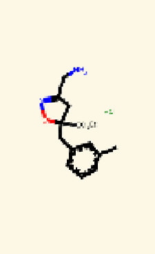 CCOC(=O)C1(Cc2cccc(C)c2)CC(CN)=NO1.Cl